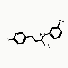 CC(CCc1ccc(O)cc1)Nc1cccc(O)c1